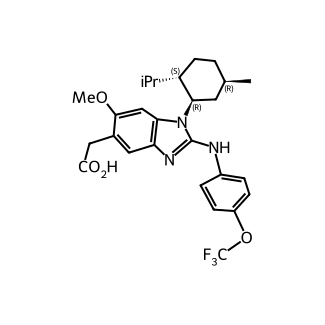 COc1cc2c(cc1CC(=O)O)nc(Nc1ccc(OC(F)(F)F)cc1)n2[C@@H]1C[C@H](C)CC[C@H]1C(C)C